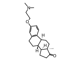 CN(C)CCOc1ccc2c(c1)CC[C@@H]1[C@@H]2CC[C@@]2(C)C(=O)CC[C@@H]12